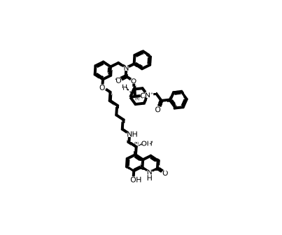 O=C(C[N+]12CCC(CC1)[C@@H](OC(=O)N(Cc1cccc(OCCCCCCNC[C@H](O)c3ccc(O)c4[nH]c(=O)ccc34)c1)c1ccccc1)C2)c1ccccc1